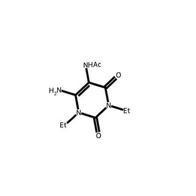 CCn1c(N)c(NC(C)=O)c(=O)n(CC)c1=O